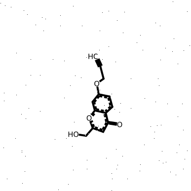 C#CCOc1ccc2c(=O)cc(CO)oc2c1